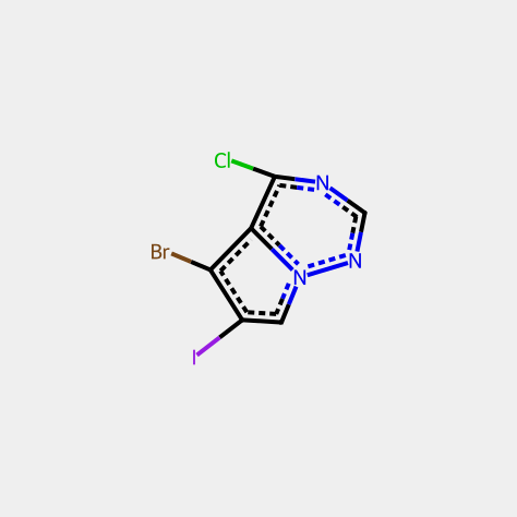 Clc1ncnn2cc(I)c(Br)c12